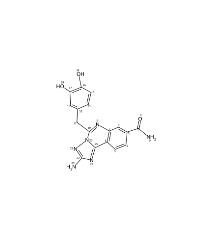 NC(=O)c1ccc2c(c1)nc(Cc1ccc(O)c(O)c1)n1nc(N)nc21